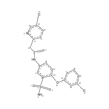 NS(=O)(=O)c1cc(NC(=O)Cc2ccc(Cl)cn2)ccc1Oc1cccc(Cl)c1